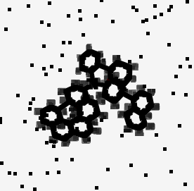 c1ccc(-c2ccccc2N(c2ccc(-c3cccc4ccccc34)cc2)c2ccc(-c3cccc4ccc5ccc6ccccc6c5c34)cc2)cc1